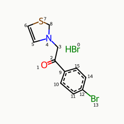 Br.O=C(CN1C=CSC1)c1ccc(Br)cc1